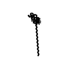 C=CC(=O)OC12CCCC1OC(OCCCCCCCCCCCCCCCCCCCC)(C(F)(F)F)C2(F)F